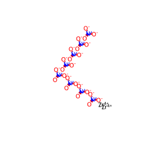 O=[N+]([O-])[O-].O=[N+]([O-])[O-].O=[N+]([O-])[O-].O=[N+]([O-])[O-].O=[N+]([O-])[O-].O=[N+]([O-])[O-].O=[N+]([O-])[O-].O=[N+]([O-])[O-].[Zr+4].[Zr+4]